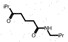 CC(C)CNC(=O)CCCC(=O)C(C)C